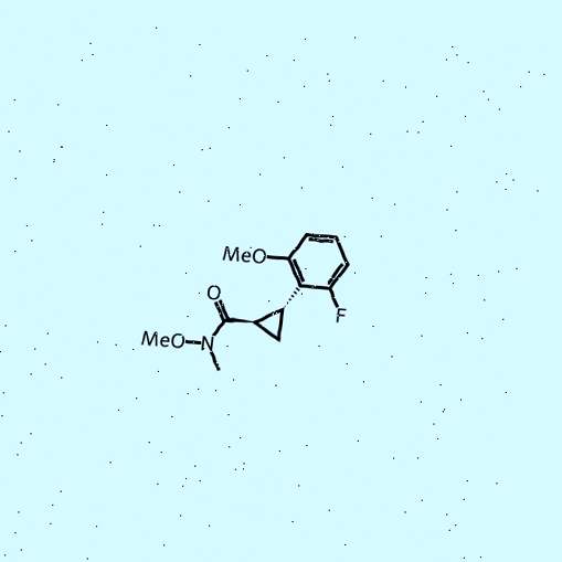 COc1cccc(F)c1[C@@H]1C[C@H]1C(=O)N(C)OC